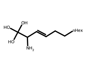 CCCCCCCCC=CC(N)C(O)(O)O